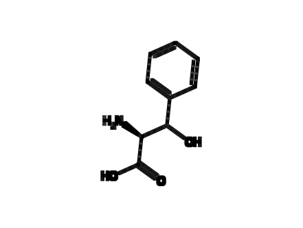 N[C@H](C(=O)O)C(O)c1ccccc1